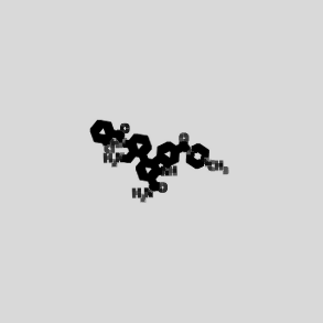 CN1CCN(C(=O)c2ccc3c(c2)[nH]c2c(C(N)=O)ccc(-c4cccc(NC(=O)c5ccccc5Cl)c4CN)c23)CC1